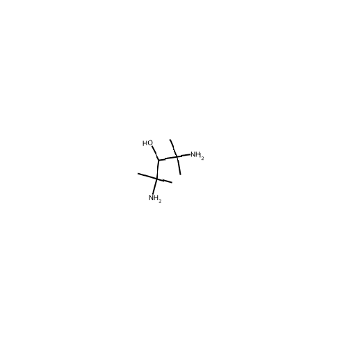 CC(C)(N)C(O)C(C)(C)N